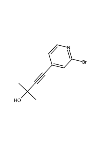 CC(C)(O)C#Cc1ccnc(Br)c1